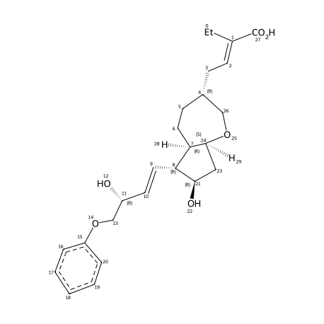 CCC(=CC[C@H]1CC[C@@H]2[C@@H](C=C[C@@H](O)COc3ccccc3)[C@H](O)C[C@@H]2OC1)C(=O)O